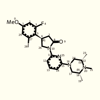 COc1cc(F)c([C@H]2CC(=O)N(c3cccc(N4C[C@@H](C)N(C)[C@@H](C)C4)n3)C2)c(I)c1